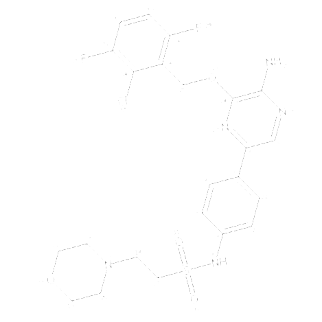 Nc1ncc(-c2ccc(NS(=O)(=O)CCN3CCOCC3)cc2)nc1OCc1c(F)ccc(F)c1Cl